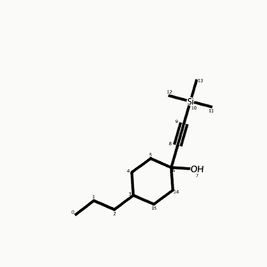 CCCC1CCC(O)(C#C[Si](C)(C)C)CC1